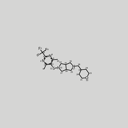 Cc1nc(C(F)(F)F)nc(C)c1SN1CC2CN(CC3CCOCC3)CC2C1